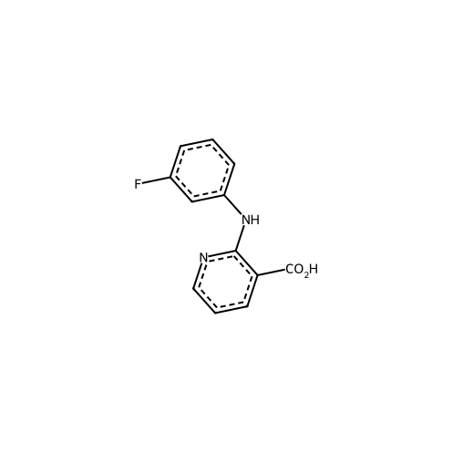 O=C(O)c1cccnc1Nc1cccc(F)c1